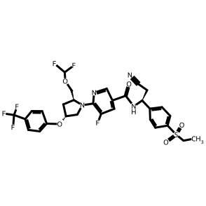 CCS(=O)(=O)c1ccc([C@H](CC#N)NC(=O)c2cnc(N3C[C@H](Oc4ccc(C(F)(F)F)cc4)C[C@H]3COC(F)F)c(F)c2)cc1